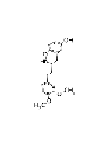 COc1ccc(CCC2Cc3cc(O)ccc3ON2)cc1OC